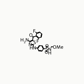 COCNS(=O)(=O)c1ccc(Nc2nc(N)c(C(=O)c3c(F)cccc3F)s2)cc1